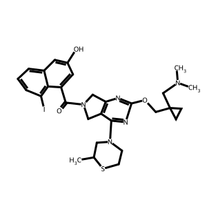 CC1CN(c2nc(OCC3(CN(C)C)CC3)nc3c2CN(C(=O)c2cc(O)cc4cccc(I)c24)C3)CCS1